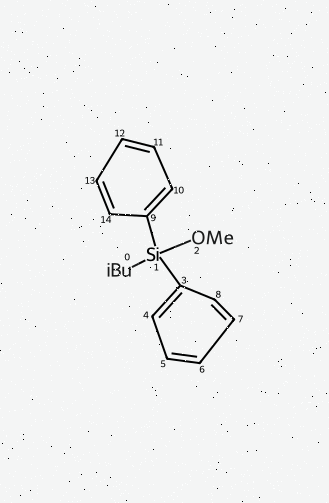 CCC(C)[Si](OC)(c1ccccc1)c1ccccc1